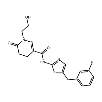 O=C(Nc1ncc(Cc2cccc(F)c2)s1)C1=NN(CCO)C(=O)CC1